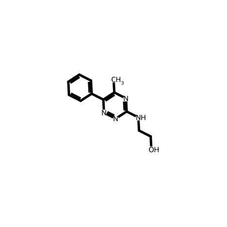 Cc1nc(NCCO)nnc1-c1ccccc1